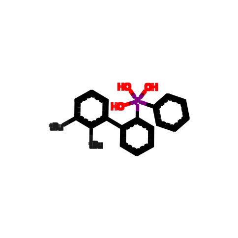 CC(C)(C)c1cccc(-c2ccccc2P(O)(O)(O)c2ccccc2)c1C(C)(C)C